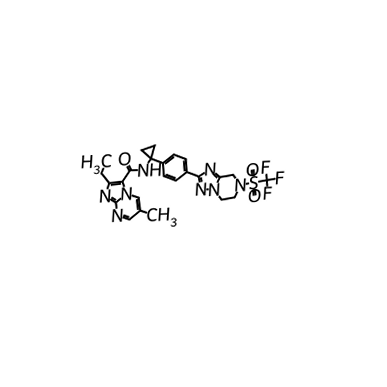 CCc1nc2ncc(C)cn2c1C(=O)NC1(c2ccc(-c3nc4n(n3)CCN(S(=O)(=O)C(F)(F)F)C4)cc2)CC1